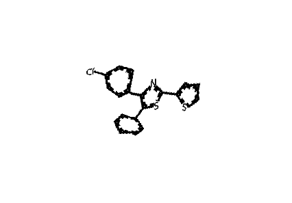 Clc1ccc(-c2nc(-c3cccs3)sc2-c2ccccc2)cc1